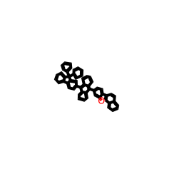 c1ccc(C2(c3ccccc3)c3ccccc3-c3ccc(-c4c5ccccc5c(-c5ccc6c(c5)oc5c7ccccc7ccc65)c5ccccc45)cc32)cc1